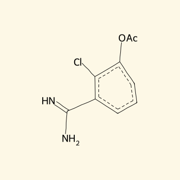 CC(=O)Oc1cccc(C(=N)N)c1Cl